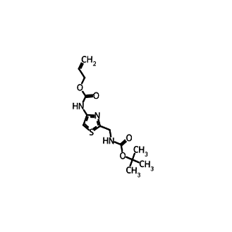 C=CCOC(=O)Nc1csc(CNC(=O)OC(C)(C)C)n1